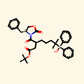 CC(C)(C)OC(=O)CC(CCCC(C)(C)[Si](O)(c1ccccc1)c1ccccc1)C(=O)N1C(=O)OC[C@@H]1Cc1ccccc1